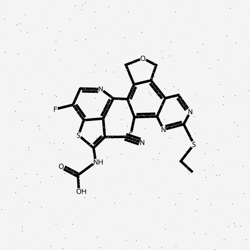 CCSc1ncc2c3c(c(-c4ncc(F)c5sc(NC(=O)O)c(C#N)c45)c(F)c2n1)COC3